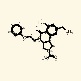 CCc1cc(C)c2c(c1)C1CN(C(=O)O)CC1N(CCOc1ccccc1)C2=O